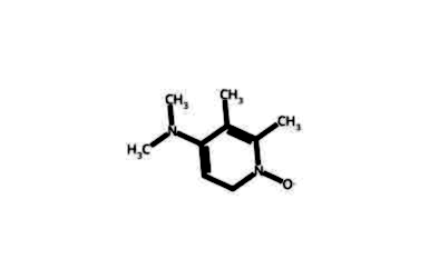 CC1=C(C)N([O])CC=C1N(C)C